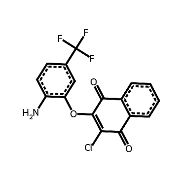 Nc1ccc(C(F)(F)F)cc1OC1=C(Cl)C(=O)c2ccccc2C1=O